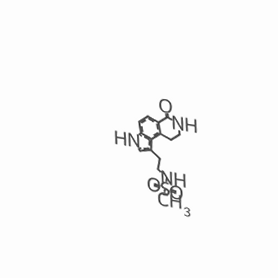 CS(=O)(=O)NCCc1c[nH]c2ccc3c(c12)CCNC3=O